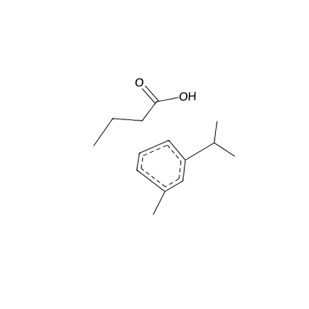 CCCC(=O)O.Cc1cccc(C(C)C)c1